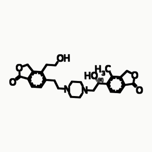 Cc1c([C@@H](O)CN2CCN(CCc3ccc4c(c3CCO)COC4=O)CC2)ccc2c1COC2=O